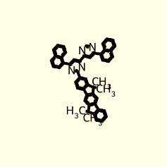 CC1(C)c2ccccc2-c2cc3c(cc21)-c1ccc(-c2nc(-c4cc(-c5cccc6ccccc56)ncn4)cc(-c4cccc5ccccc45)n2)cc1C3(C)C